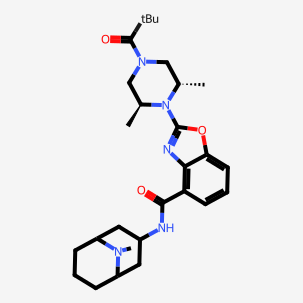 C[C@H]1CN(C(=O)C(C)(C)C)C[C@H](C)N1c1nc2c(C(=O)NC3CC4CCCC(C3)N4C)cccc2o1